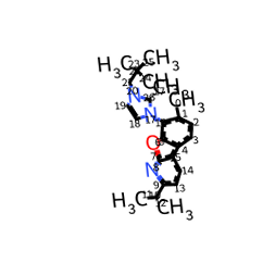 Cc1ccc2c(oc3nc(C(C)C)ccc32)c1N1C=CN(CC(C)(C)C)[C@@H]1C